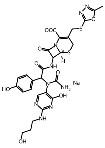 Cc1nnc(SCC2=C(C(=O)[O-])N3C(=O)C(NC(=O)C(c4ccc(O)cc4)N(C(N)=O)c4cnc(NCCCO)nc4O)[C@@H]3SC2)o1.[Na+]